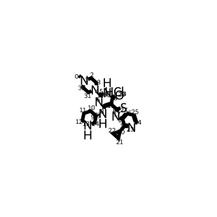 CN1CCN(c2nc(N[C@@H]3CCCNC3)c(-c3nc4c(C5CC5)nccc4s3)c(=O)[nH]2)CC1.Cl